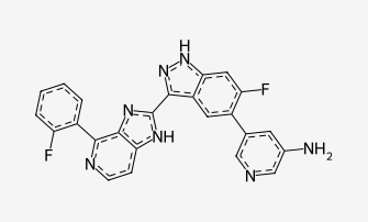 Nc1cncc(-c2cc3c(-c4nc5c(-c6ccccc6F)nccc5[nH]4)n[nH]c3cc2F)c1